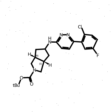 CC(C)(C)OC(=O)N1C[C@H]2CC(Nc3ccc(-c4cc(F)ccc4Cl)nn3)C[C@H]2C1